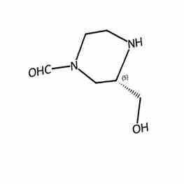 O=CN1CCN[C@H](CO)C1